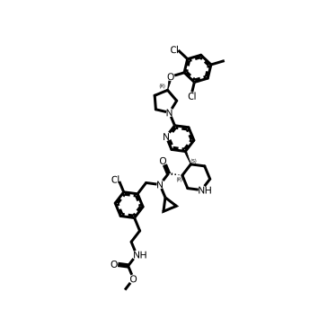 COC(=O)NCCc1ccc(Cl)c(CN(C(=O)[C@H]2CNCC[C@@H]2c2ccc(N3CC[C@@H](Oc4c(Cl)cc(C)cc4Cl)C3)nc2)C2CC2)c1